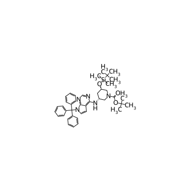 CC(C)(C)OC(=O)N1C[C@H](Nc2ncnc3c2ccn3C(c2ccccc2)(c2ccccc2)c2ccccc2)C[C@@H](O[Si](C)(C)C(C)(C)C)C1